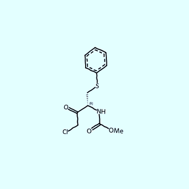 COC(=O)N[C@@H](CSc1ccccc1)C(=O)CCl